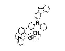 CC1(C)c2cc(N(c3ccccc3)c3ccc4sc5ccccc5c4c3)ccc2-c2ccc3ccc4ccccc4c3c2C1(C)C